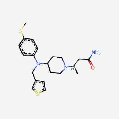 CSc1ccc(N(Cc2ccsc2)C2CCN([C@H](C)CC(N)=O)CC2)cc1